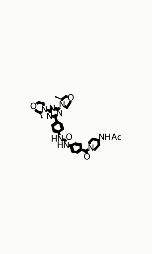 CC(=O)NC1CCN(C(=O)c2ccc(NC(=O)Nc3ccc(-c4nc(N5CCOC[C@@H]5C)nc(N5CCOC[C@@H]5C)n4)cc3)cc2)CC1